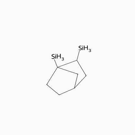 [SiH3]C1CC2CCC1([SiH3])C2